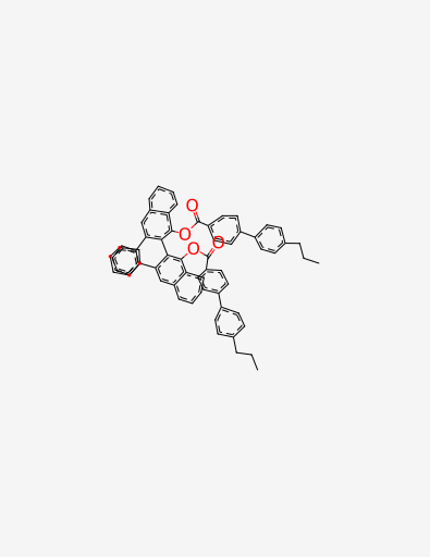 CCCc1ccc(-c2ccc(C(=O)Oc3c(-c4c(-c5ccccc5)cc5ccccc5c4OC(=O)c4ccc(-c5ccc(CCC)cc5)cc4)c(-c4ccccc4)cc4ccccc34)cc2)cc1